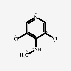 CNc1c(Cl)cncc1Cl